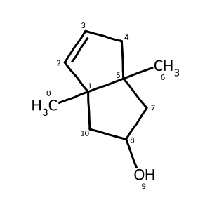 CC12C=CCC1(C)CC(O)C2